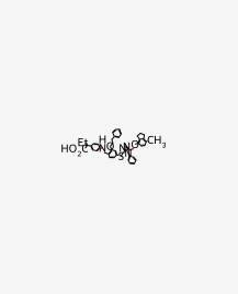 CCC(C(=O)O)c1ccc(NCc2ccc(Sc3nnc(COc4ccc(C)c5c4CCC5)n3-c3ccccc3)cc2OCCc2ccccc2)cc1